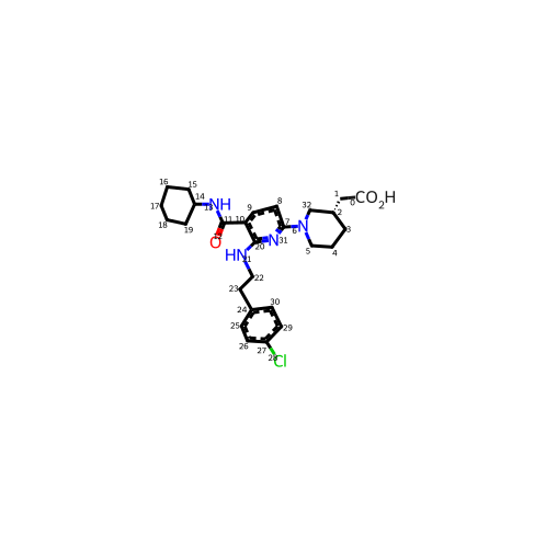 O=C(O)C[C@@H]1CCCN(c2ccc(C(=O)NC3CCCCC3)c(NCCc3ccc(Cl)cc3)n2)C1